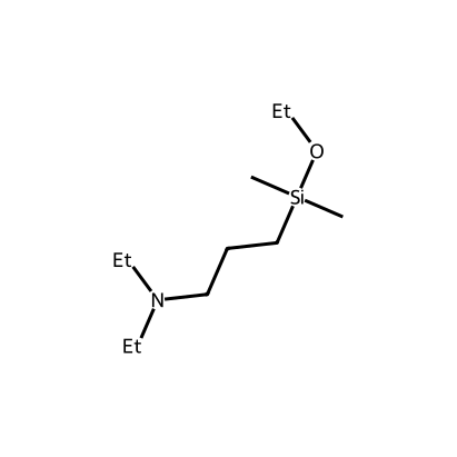 CCO[Si](C)(C)CCCN(CC)CC